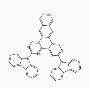 c1ccc2cc3c(cc2c1)c1cnc(-n2c4ccccc4c4ccccc42)nc1c1nc(-n2c4ccccc4c4ccccc42)ncc31